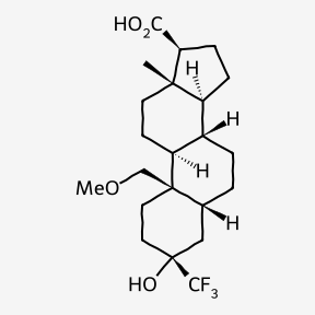 COC[C@]12CC[C@](O)(C(F)(F)F)C[C@H]1CC[C@H]1[C@@H]3CC[C@H](C(=O)O)[C@@]3(C)CC[C@@H]12